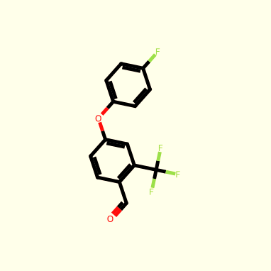 O=Cc1ccc(Oc2ccc(F)cc2)cc1C(F)(F)F